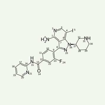 Nc1ncc(I)c2c1c(-c1ccc(C(=O)Nc3ccccn3)cc1F)nn2[C@@H]1CCCNC1